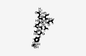 CC(=O)N[C@@H](Cc1ccc(OP(=O)(O)O)cc1)C(=O)N[C@@H](CC(C)C)C(=O)N1CCCC1C(=O)N[C@@H](CCC(N)=O)C(=O)N[C@H](C(=O)N[C@H](C(N)=O)C(C)C)C(C)O